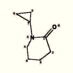 O=C1CCCCN1C1CC1